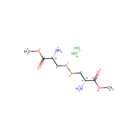 COC(=O)[C@H](N)CSSC[C@@H](N)C(=O)OC.Cl.Cl